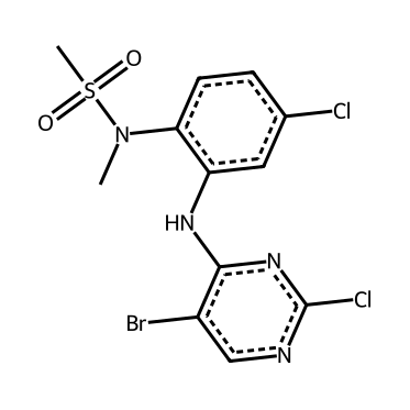 CN(c1ccc(Cl)cc1Nc1nc(Cl)ncc1Br)S(C)(=O)=O